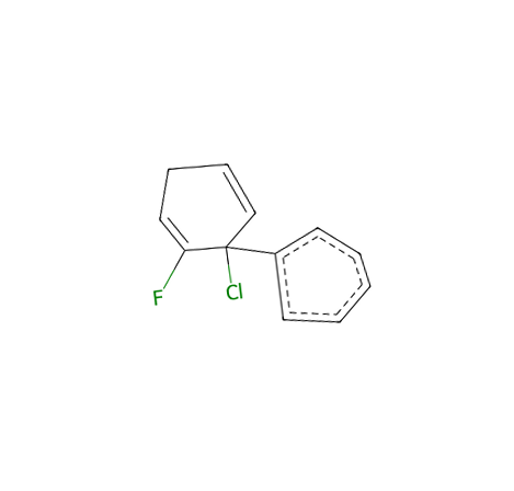 FC1=CCC=CC1(Cl)c1ccccc1